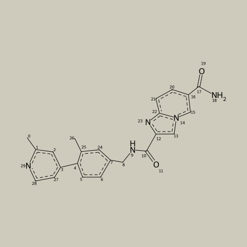 Cc1cc(-c2ccc(CNC(=O)c3cn4cc(C(N)=O)ccc4n3)cc2C)ccn1